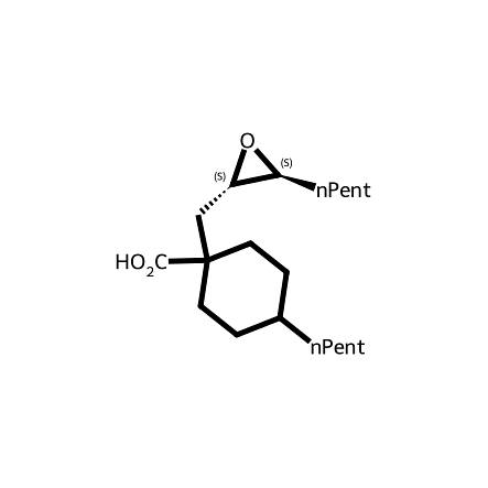 CCCCCC1CCC(C[C@@H]2O[C@H]2CCCCC)(C(=O)O)CC1